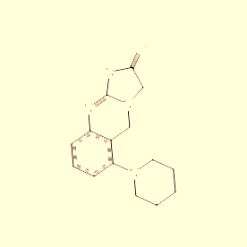 O=C1CN2Cc3c(cccc3N3CCCCC3)N=C2N1